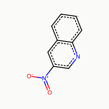 O=[N+]([O-])c1cnc2c[c]ccc2c1